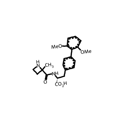 COc1cccc(OC)c1-c1ccc(C[C@@H](NC(=O)C2(C)CCN2)C(=O)O)cc1